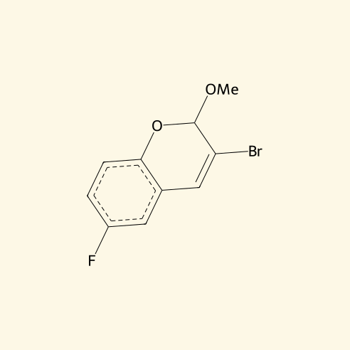 COC1Oc2ccc(F)cc2C=C1Br